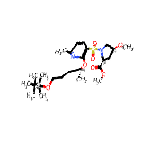 COC(=O)[C@@H]1C[C@H](OC)CN1S(=O)(=O)c1ccc(C)nc1O[C@H](C)CCCO[Si](C)(C)C(C)(C)C